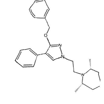 C[C@@H]1CCC[C@H](C)N1CCn1cc(-c2ccccc2)c(OCc2ccccc2)n1